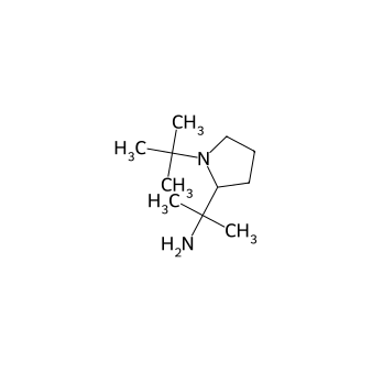 CC(C)(N)C1CCCN1C(C)(C)C